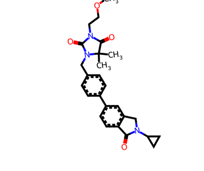 COCCN1C(=O)N(Cc2ccc(-c3ccc4c(c3)CN(C3CC3)C4=O)cc2)C(C)(C)C1=O